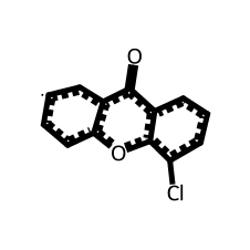 O=c1c2c[c]ccc2oc2c(Cl)cccc12